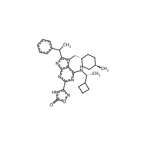 CC(c1ccccc1)c1nc2nc(-c3noc(=O)[nH]3)nc(N[C@H](C)C3CCC3)c2n1C[C@H]1CC[C@H](C)CC1